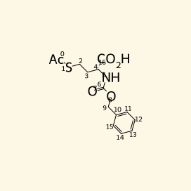 CC(=O)SCC[C@@H](NC(=O)OCc1ccccc1)C(=O)O